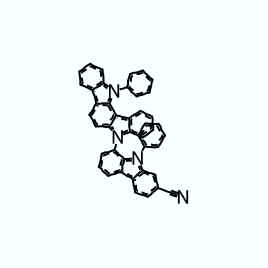 N#Cc1ccc2c3cccc(-n4c5ccccc5c5c4ccc4c6ccccc6n(-c6ccccc6)c45)c3n(-c3ccccc3)c2c1